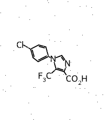 O=C(O)c1ncn(-c2ccc(Cl)cc2)c1C(F)(F)F